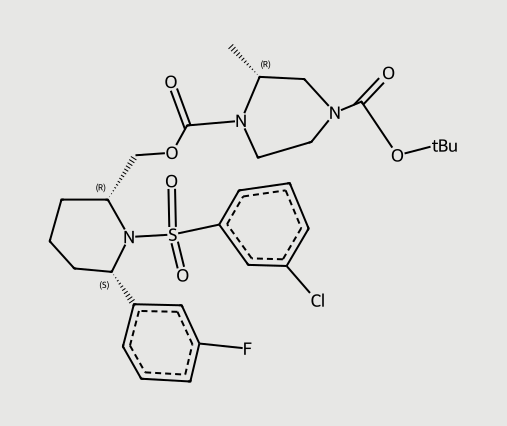 C[C@@H]1CN(C(=O)OC(C)(C)C)CCN1C(=O)OC[C@H]1CCC[C@@H](c2cccc(F)c2)N1S(=O)(=O)c1cccc(Cl)c1